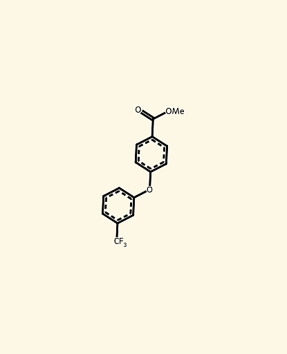 COC(=O)c1ccc(Oc2cccc(C(F)(F)F)c2)cc1